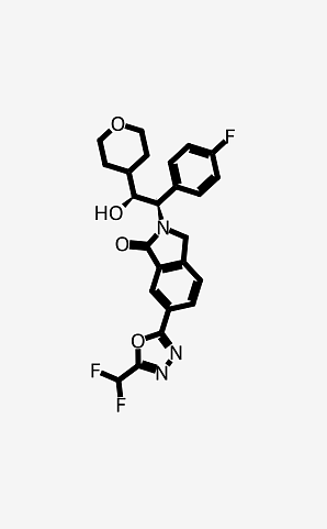 O=C1c2cc(-c3nnc(C(F)F)o3)ccc2CN1[C@H](c1ccc(F)cc1)[C@@H](O)C1CCOCC1